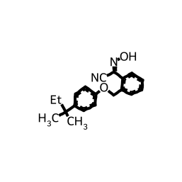 CCC(C)(C)c1ccc(OCc2ccccc2/C(C#N)=N\O)cc1